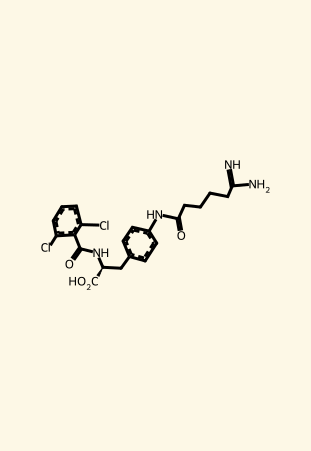 N=C(N)CCCCC(=O)Nc1ccc(C[C@H](NC(=O)c2c(Cl)cccc2Cl)C(=O)O)cc1